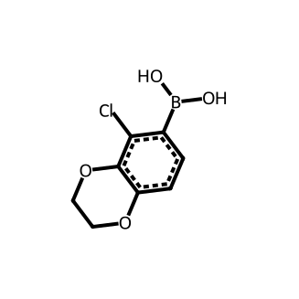 OB(O)c1ccc2c(c1Cl)OCCO2